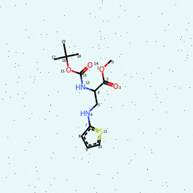 COC(=O)C(CNc1cccs1)NC(=O)OC(C)(C)C